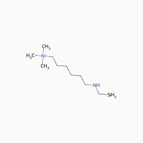 C[N+](C)(C)CCCCCCNC[SiH3]